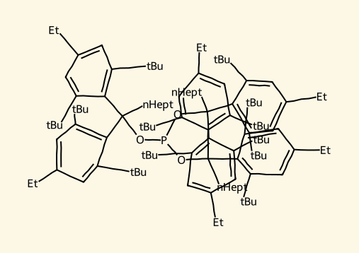 CCCCCCCC(OP(OC(CCCCCCC)(c1c(C(C)(C)C)cc(CC)cc1C(C)(C)C)c1c(C(C)(C)C)cc(CC)cc1C(C)(C)C)OC(CCCCCCC)(c1c(C(C)(C)C)cc(CC)cc1C(C)(C)C)c1c(C(C)(C)C)cc(CC)cc1C(C)(C)C)(c1c(C(C)(C)C)cc(CC)cc1C(C)(C)C)c1c(C(C)(C)C)cc(CC)cc1C(C)(C)C